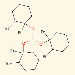 CCC1CCCCC1(CC)OB(OC1(CC)CCCCC1CC)OC1(CC)CCCCC1CC